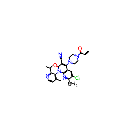 Bc1nc2c(cc1Cl)c(N1CCN(C(=O)C=C)CC1)c(C#N)c(=O)n2-c1c(C)ccnc1C(C)C